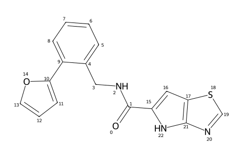 O=C(NCc1ccccc1-c1ccco1)c1cc2scnc2[nH]1